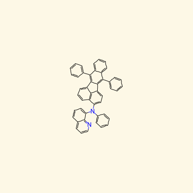 c1ccc(-c2c3c(c(-c4ccccc4)c4ccccc24)-c2ccc(N(c4ccccc4)c4cccc5cccnc45)c4cccc-3c24)cc1